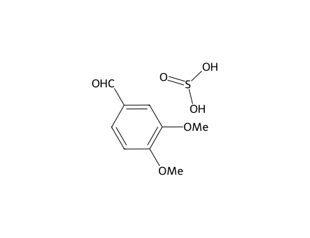 COc1ccc(C=O)cc1OC.O=S(O)O